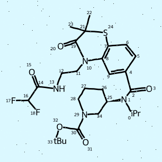 CC(C)N(C(=O)c1ccc2c(c1)N(CCNC(=O)C(F)F)C(=O)C(C)(C)S2)[C@@H]1CCCN(C(=O)OC(C)(C)C)C1